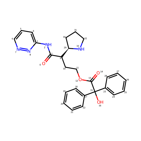 O=C(Nc1cccnn1)C(CCOC(=O)C(O)(c1ccccc1)c1ccccc1)[C@H]1CCCN1